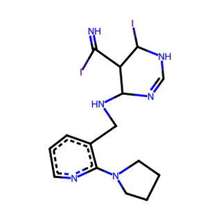 N=C(I)C1C(I)NC=NC1NCc1cccnc1N1CCCC1